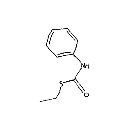 CCSC(=O)Nc1ccccc1